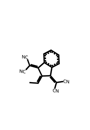 CC=C1C(=C(C#N)C#N)c2ccccc2C1=C(C#N)C#N